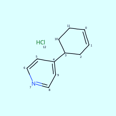 C1=CCC(c2ccncc2)CC1.Cl